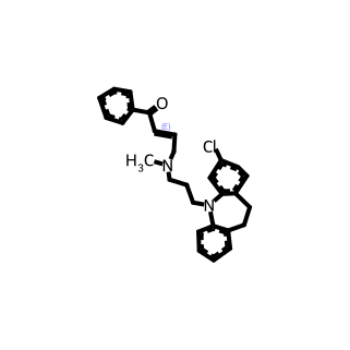 CN(C/C=C/C(=O)c1ccccc1)CCCN1c2ccccc2CCc2ccc(Cl)cc21